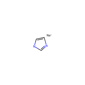 [Na+].c1c[n-]cn1